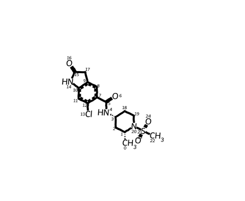 C[C@@H]1C[C@H](NC(=O)c2cc3c(cc2Cl)NC(=O)C3)CCN1S(C)(=O)=O